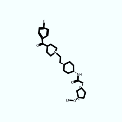 CCO[C@@H]1CC[C@@H](CC(=O)N[C@H]2CC[C@H](CCN3CCC(C(=O)c4ccc(F)cc4)CC3)CC2)C1